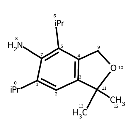 CC(C)c1cc2c(c(C(C)C)c1N)COC2(C)C